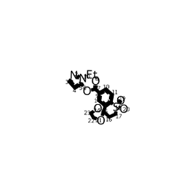 CCn1nccc1OC(=O)c1ccc2c(c1)C1(CCS2(=O)=O)OCCO1